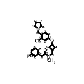 CN(CC1CC(Oc2ccc(CN3CCCC3)c(Cl)c2)C1)C(=O)Cc1cccc(F)c1